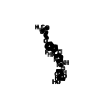 CS(=O)(=O)CCCOc1cc(F)c2c(c1)CCC2Nc1nc2nc(O[C@@H]3CO[C@H]4[C@@H]3OC[C@H]4O)[nH]c2cc1Cl